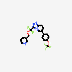 FC(F)(F)Oc1ccc(-c2ccc3nnc(C(F)(F)OCc4cccnc4)n3c2)cc1